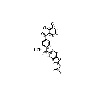 CN(C)Cc1cc2c(o1)CCN(C(=O)c1ccc(C(=O)c3cccc(Cl)c3Cl)cc1)C2.Cl